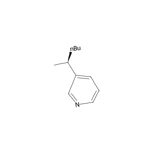 CCCC[C@H](C)c1cccnc1